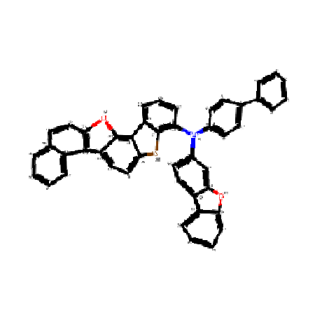 c1ccc(-c2ccc(N(c3ccc4c(c3)oc3ccccc34)c3cccc4c3sc3ccc5c(oc6ccc7ccccc7c65)c34)cc2)cc1